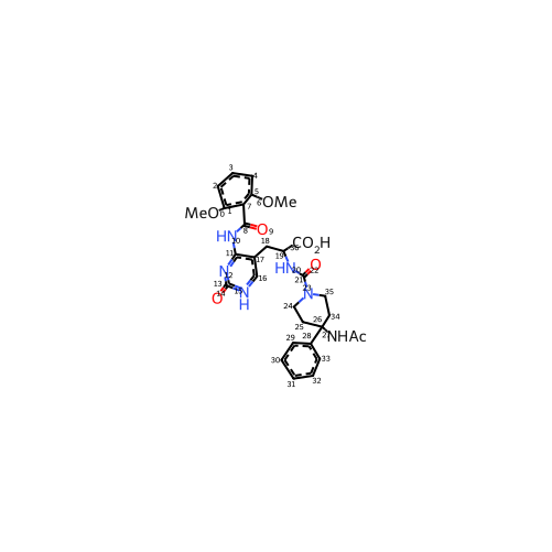 COc1cccc(OC)c1C(=O)Nc1nc(=O)[nH]cc1CC(NC(=O)N1CCC(NC(C)=O)(c2ccccc2)CC1)C(=O)O